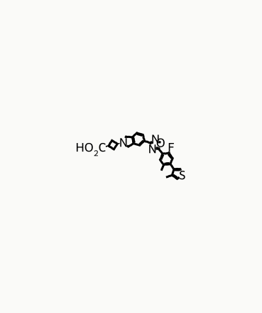 Cc1cscc1-c1cc(F)c(-c2nc(-c3ccc4c(c3)CN([C@H]3C[C@H](C(=O)O)C3)C4)no2)cc1C